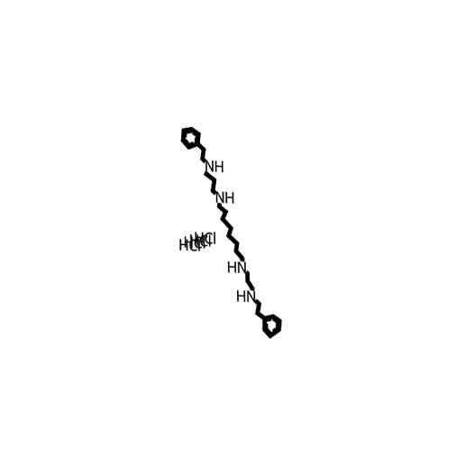 Cl.Cl.Cl.Cl.c1ccc(CCNCCCNCCCCCCCCNCCCNCCc2ccccc2)cc1